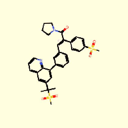 CC(C)(c1cc(-c2cccc(/C=C(/C(=O)N3CCCC3)c3ccc(S(C)(=O)=O)cc3)c2)c2ncccc2c1)S(C)(=O)=O